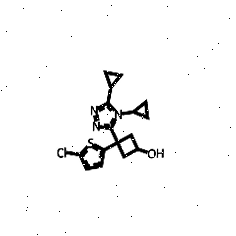 OC1CC(c2ccc(Cl)s2)(c2nnc(C3CC3)n2C2CC2)C1